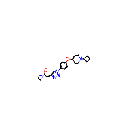 O=C(Cc1cn(-c2ccc(OC3CCN(C4CCC4)CC3)cc2)nn1)N1CCC1